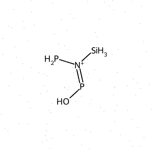 OP=[N+]([SiH3])P